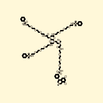 CC(=O)CN(CCN(CCN(CC(=O)NCCOCCOCCOCCNS(=O)(=O)c1ccccc1)CC(=O)NCCOCCOCCOCCNS(=O)(=O)c1ccccc1)CC(=O)NCCOCCOCCOCCNS(=O)(=O)c1ccccc1)CC(=O)NCCOCCOCCOCCNS(=O)(=O)c1cccc([C@@H]2CN(C)Cc3c(Cl)cc(Cl)cc32)c1